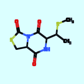 CSC(C)C1NC(=O)C2CSC(=O)N2C1=O